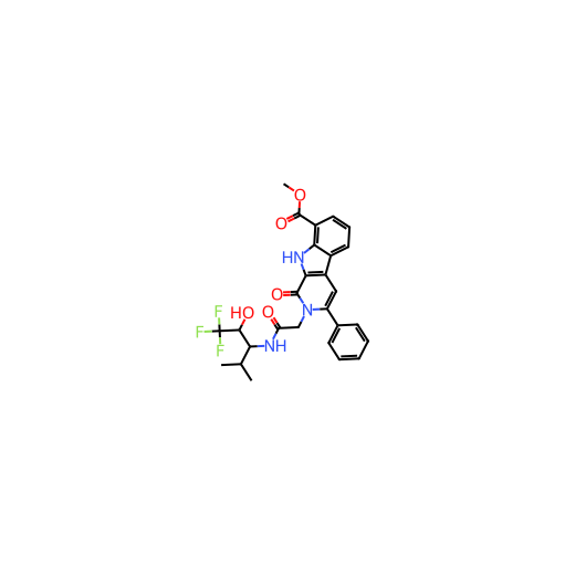 COC(=O)c1cccc2c1[nH]c1c(=O)n(CC(=O)NC(C(C)C)C(O)C(F)(F)F)c(-c3ccccc3)cc12